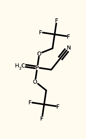 C=P(CC#N)(OCC(F)(F)F)OCC(F)(F)F